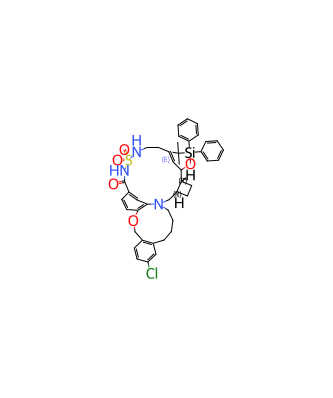 CC(C)(C)[Si](OC1/C=C/CCNS(=O)(=O)NC(=O)c2ccc3c(c2)N(CCCCc2cc(Cl)ccc2CO3)C[C@@H]2CC[C@@H]12)(c1ccccc1)c1ccccc1